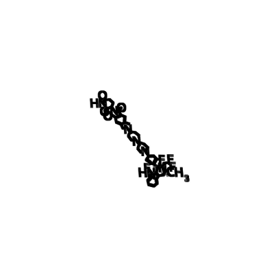 C[C@@H]1Cc2c([nH]c3ccccc23)[C@@H](c2c(F)cc(N3CCC(N4CCC(N5Cc6cc7c(cc6C5)C(=O)N(C5CCC(=O)NC5=O)C7=O)CC4)CC3)cc2F)N1CC(F)F